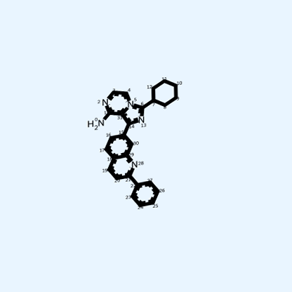 Nc1nccn2c(C3CCCCC3)nc(-c3ccc4ccc(-c5ccccc5)nc4c3)c12